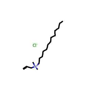 C=CC[N+](C)(C)CCCCCCCCCCCCC.[Cl-]